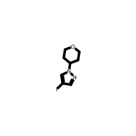 Ic1cnn(C2CCOCC2)c1